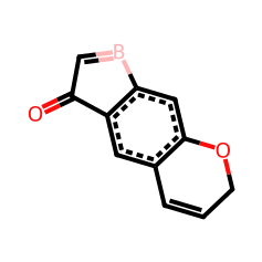 O=C1C=Bc2cc3c(cc21)C=CCO3